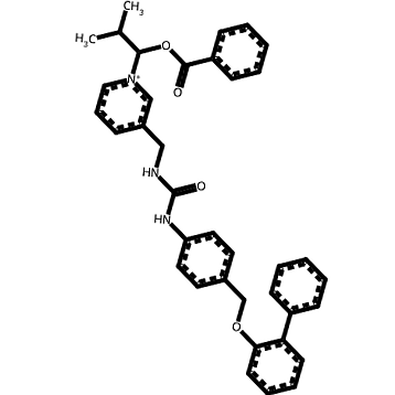 CC(C)C(OC(=O)c1ccccc1)[n+]1cccc(CNC(=O)Nc2ccc(COc3ccccc3-c3ccccc3)cc2)c1